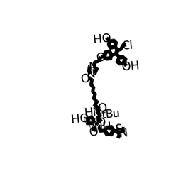 Cc1ncsc1-c1ccc(CNC(=O)[C@@H]2C[C@@H](O)CN2C(=O)C(NC(=O)CCCCCCCCC(=O)N2CCN(CCOc3ccc(C(=C(CCCl)c4ccc(O)cc4)c4ccc(O)cc4)cc3)CC2)C(C)(C)C)cc1